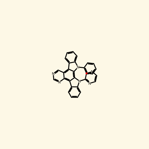 c1ccc(-n2c3ccccc3c3c4cncnc4c4c5ccccc5n(-c5cnccn5)c4c32)cc1